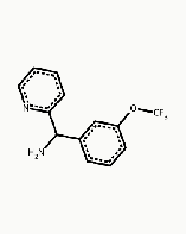 NC(c1cccc(OC(F)(F)F)c1)c1ccccn1